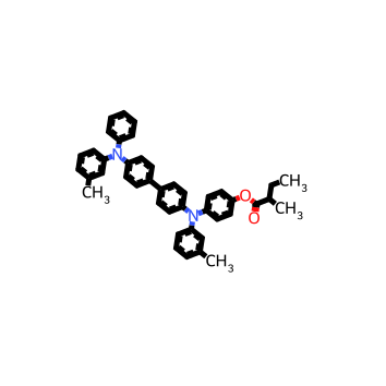 CCC(C)C(=O)Oc1ccc(N(c2ccc(-c3ccc(N(c4ccccc4)c4cccc(C)c4)cc3)cc2)c2cccc(C)c2)cc1